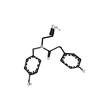 C=CCN(Cc1ccc(O)cc1)C(=O)Cc1ccc(Cl)cc1